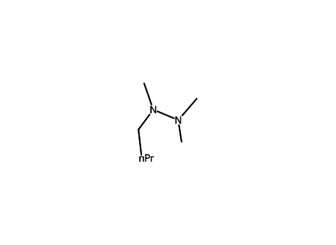 CCCCN(C)N(C)C